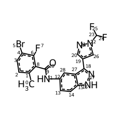 Cc1ccc(Br)c(F)c1C(=O)Nc1ccc2[nH]nc(-c3cnn(C(F)F)c3)c2c1